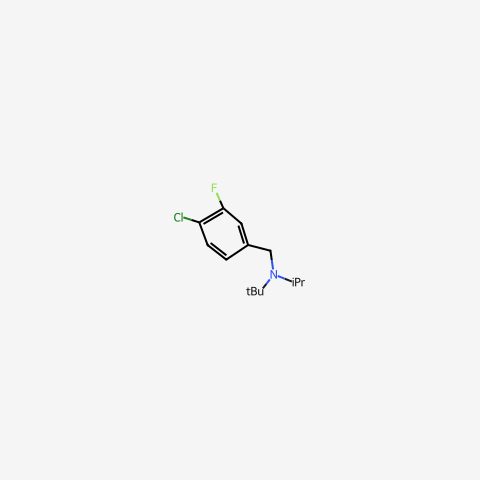 CC(C)N(Cc1ccc(Cl)c(F)c1)C(C)(C)C